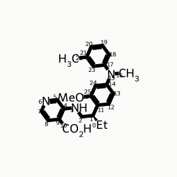 CC[C@@H](CNc1cnccc1C(=O)O)c1ccc(N(C)c2cccc(C)c2)cc1OC